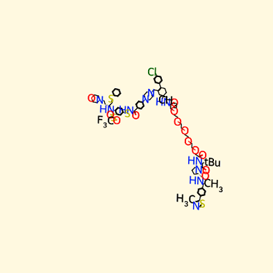 Cc1ncsc1-c1ccc([C@H](C)NC(=O)[C@@H]2CCCN2C(=O)[C@@H](NC(=O)COCCOCCOCCOCCOCC(=O)NCC2(C)CCC(c3ccc(Cl)cc3)=C(CN3CCN(c4ccc(C(=O)NSc5ccc(N[C@H](CCN6CCOCC6)CSc6ccccc6)c(S(=O)(=O)C(F)(F)F)c5)cc4)CC3)C2)C(C)(C)C)cc1